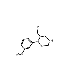 COc1cccc(N2CCNCC2CF)c1